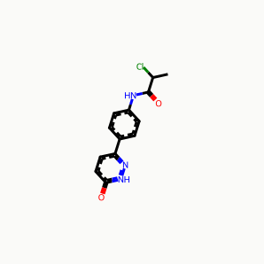 CC(Cl)C(=O)Nc1ccc(-c2ccc(=O)[nH]n2)cc1